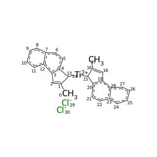 CC1=Cc2c(ccc3ccccc23)[CH]1[Ti+2][CH]1C(C)=Cc2c1ccc1ccccc21.[Cl-].[Cl-]